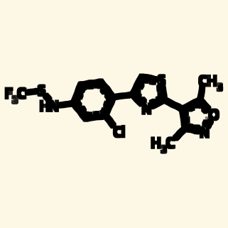 Cc1noc(C)c1-c1nc(-c2ccc(NSC(F)(F)F)cc2Cl)cs1